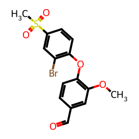 COc1cc(C=O)ccc1Oc1ccc(S(C)(=O)=O)cc1Br